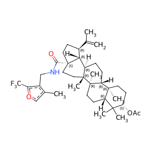 C=C(C)[C@@H]1CC[C@]2(C(=O)NCc3c(C)coc3C(F)(F)F)CC[C@]3(C)[C@H](CC[C@@H]4[C@@]5(C)CC[C@H](OC(C)=O)C(C)(C)[C@@H]5CC[C@]43C)[C@@H]12